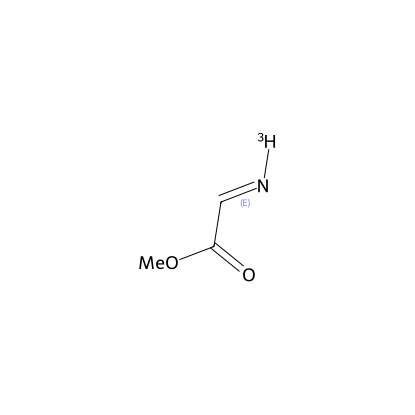 [3H]/N=C/C(=O)OC